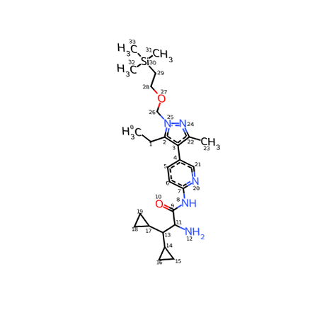 CCc1c(-c2ccc(NC(=O)C(N)C(C3CC3)C3CC3)nc2)c(C)nn1COCC[Si](C)(C)C